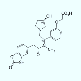 CN(C(=O)Cc1ccc2oc(=O)[nH]c2c1)[C@H](CN1CC[C@@H](O)C1)c1cccc(OCC(=O)O)c1